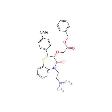 COc1ccc(C2Sc3ccccc3N(CCN(C)C)C(=O)C2OCC(=O)OCc2ccccc2)cc1